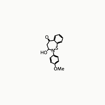 COc1ccc(N2Sc3ccccc3C(=O)CC2O)cc1